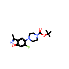 Cc1noc2cc(F)c(N3CCN(C(=O)OC(C)(C)C)CC3)cc12